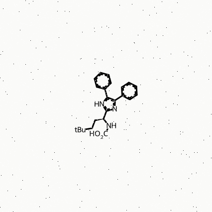 CC(C)(C)CC[C@H](NC(=O)O)c1nc(-c2ccccc2)c(-c2ccccc2)[nH]1